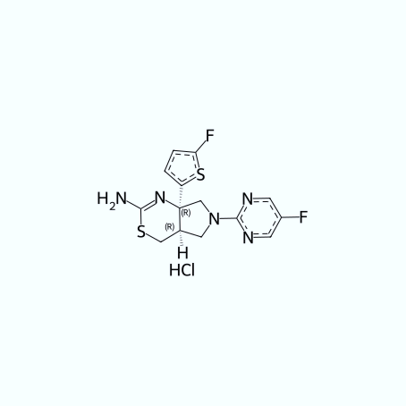 Cl.NC1=N[C@@]2(c3ccc(F)s3)CN(c3ncc(F)cn3)C[C@H]2CS1